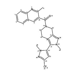 Cc1nc2ccccc2cc1C(=O)N1CCc2c(nn(C)c2-c2cc(C(F)(F)F)nn2C)C1